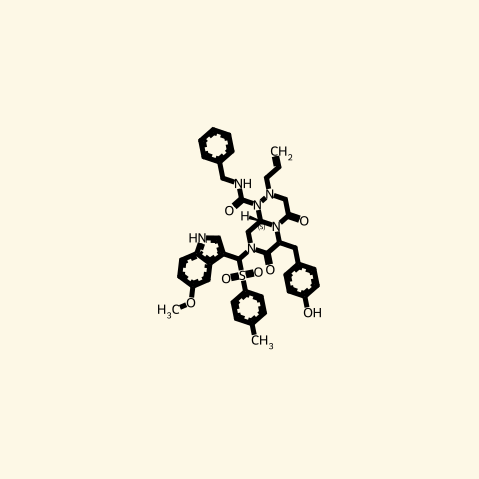 C=CCN1CC(=O)N2C(Cc3ccc(O)cc3)C(=O)N(C(c3c[nH]c4ccc(OC)cc34)S(=O)(=O)c3ccc(C)cc3)C[C@@H]2N1C(=O)NCc1ccccc1